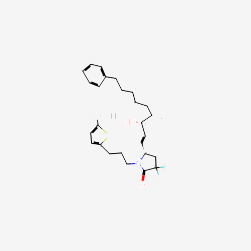 C[C@@H](CCCCCc1ccccc1)[C@@H](O)C=C[C@H]1CC(F)(F)C(=O)N1CCCc1ccc(C(=O)O)s1